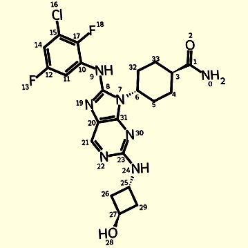 NC(=O)[C@H]1CC[C@H](n2c(Nc3cc(F)cc(Cl)c3F)nc3cnc(N[C@H]4C[C@H](O)C4)nc32)CC1